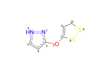 C1=C(Oc2cc[nH]n2)SSC1